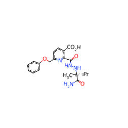 CC(C)[C@](C)(NNC(=O)c1nc(COc2ccccc2)ccc1C(=O)O)C(N)=O